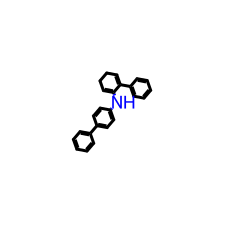 C1=C(Nc2ccc(-c3ccccc3)cc2)C(c2ccccc2)=CCC1